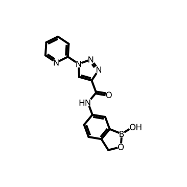 O=C(Nc1ccc2c(c1)B(O)OC2)c1cn(-c2ccccn2)nn1